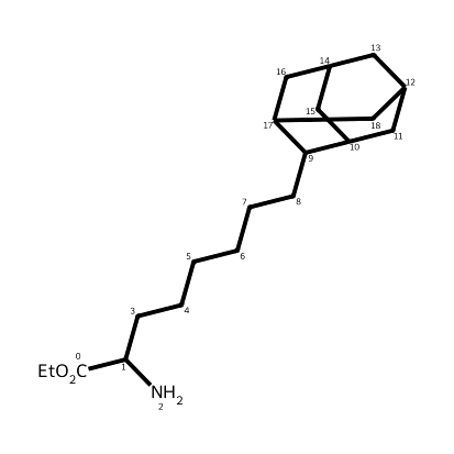 CCOC(=O)C(N)CCCCCCC1C2CC3CC(C2)CC1C3